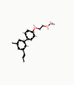 C/C=C/c1cc(C)cc(-c2ccc(OCCOCCCC)cc2)c1